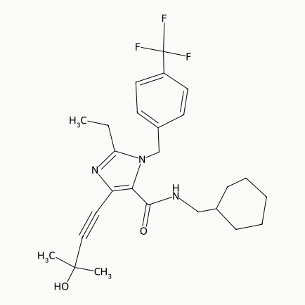 CCc1nc(C#CC(C)(C)O)c(C(=O)NCC2CCCCC2)n1Cc1ccc(C(F)(F)F)cc1